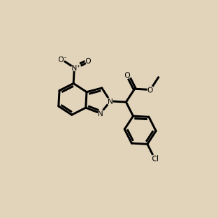 COC(=O)C(c1ccc(Cl)cc1)n1cc2c([N+](=O)[O-])cccc2n1